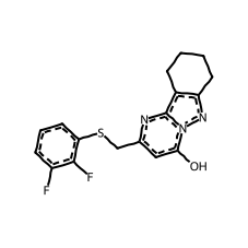 Oc1cc(CSc2cccc(F)c2F)nc2c3c(nn12)CCCC3